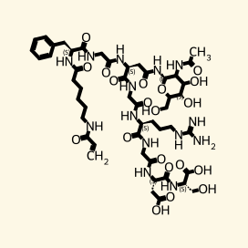 C=CC(=O)NCCCCCC(=O)N[C@@H](Cc1ccccc1)C(=O)NCC(=O)N[C@@H](CC(=O)N[C@@H]1OC(CO)[C@@H](O)C(O)C1NC(C)=O)C(=O)NCC(=O)N[C@@H](CCCNC(=N)N)C(=O)NCC(=O)N[C@@H](CC(=O)O)C(=O)N[C@@H](CO)C(=O)O